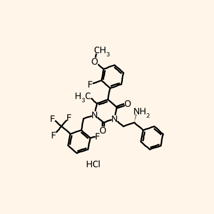 COc1cccc(-c2c(C)n(Cc3c(F)cccc3C(F)(F)F)c(=O)n(C[C@H](N)c3ccccc3)c2=O)c1F.Cl